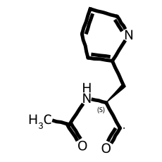 CC(=O)N[C@H]([C]=O)Cc1ccccn1